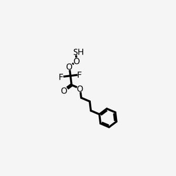 O=C(OCCCc1ccccc1)C(F)(F)OOS